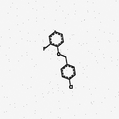 Fc1c[c]ccc1OCc1ccc(Cl)cc1